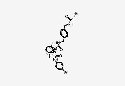 CC(C)(C)OC(=O)NCc1ccc(CNC(=O)[C@H]2[C@H](C(=O)Nc3ccc(Br)cc3)[C@@H]3C=C[C@H]2C32CC2)cc1